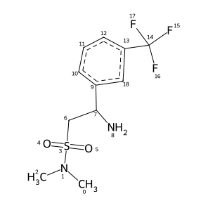 CN(C)S(=O)(=O)CC(N)c1cccc(C(F)(F)F)c1